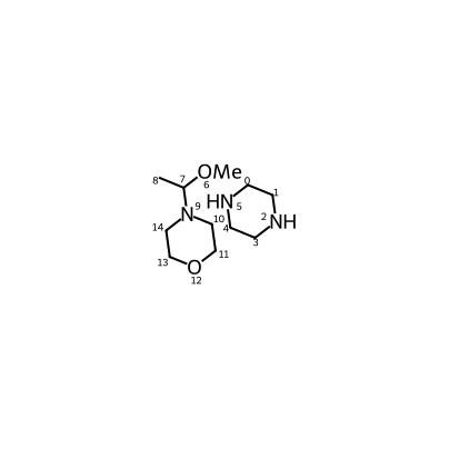 C1CNCCN1.COC(C)N1CCOCC1